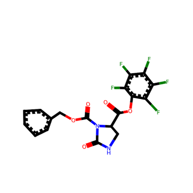 O=C(Oc1c(F)c(F)c(F)c(F)c1F)C1CNC(=O)N1C(=O)OCc1ccccc1